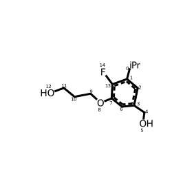 CC(C)c1cc(CO)cc(OCCCO)c1F